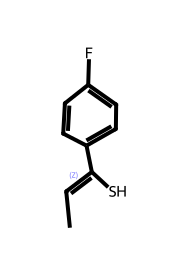 C/C=C(\S)c1ccc(F)cc1